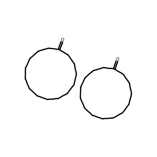 O=C1CCCCCCCCCCCCCC1.O=C1CCCCCCCCCCCCCC1